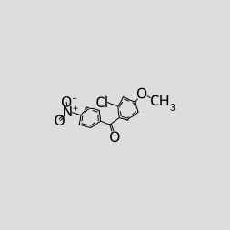 COc1ccc(C(=O)c2ccc([N+](=O)[O-])cc2)c(Cl)c1